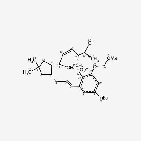 CCCCc1cc(/C=C/C[C@@H]2CC(C)(C)C[C@@H]2C(O)/C=C\[C@@H](C)[C@H](C)O)c(C(=O)O)c(OCOC)c1